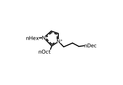 CCCCCCCCCCCCC[n+]1ccn(CCCCCC)c1CCCCCCCC